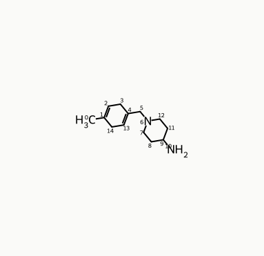 CC1=CCC(CN2CCC(N)CC2)=CC1